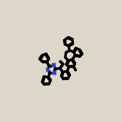 CCC(c1nc(-c2ccccc2)nc(-c2ccccc2)n1)c1ccccc1-c1cc2c(cc1C)-c1ccccc1C(c1ccccc1)CC2